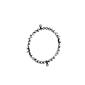 O=C1CCCCCCC/C=C\CCCCCCCC(=O)CCCCCCC/C=C\CCCCCCC1